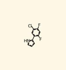 Fc1cc(F)c(-c2ccc[nH]2)cc1Cl